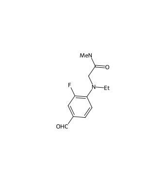 CCN(CC(=O)NC)c1ccc(C=O)cc1F